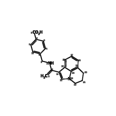 C=C(NCc1ccc(C(=O)O)cc1)c1cn2c3c(cccc13)CCC2